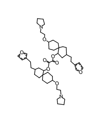 O=C(OC1CC(CCc2ccoc2)CCC12CCC(OCCN1CCCC1)CC2)C(=O)OC1CC(CCc2ccoc2)CCC12CCC(OCCN1CCCC1)CC2